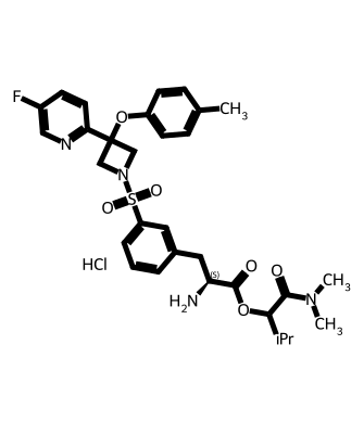 Cc1ccc(OC2(c3ccc(F)cn3)CN(S(=O)(=O)c3cccc(C[C@H](N)C(=O)OC(C(=O)N(C)C)C(C)C)c3)C2)cc1.Cl